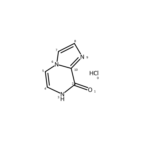 Cl.O=c1[nH]ccn2ccnc12